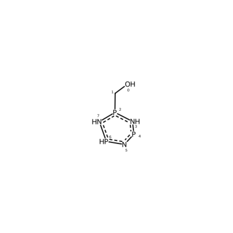 OCp1[nH]pn[pH][nH]1